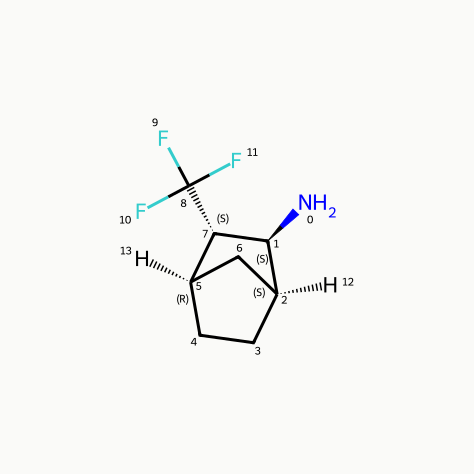 N[C@H]1[C@H]2CC[C@H](C2)[C@@H]1C(F)(F)F